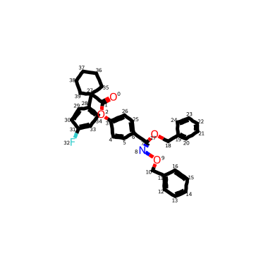 O=C(Oc1ccc(C(=NOCc2ccccc2)OCc2ccccc2)cc1)C1(c2ccc(F)cc2)CCCCC1